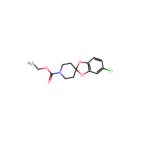 CCOC(=O)N1CCC2(CC1)Oc1ccc(Cl)cc1O2